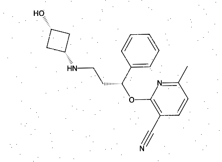 Cc1ccc(C#N)c(O[C@H](CCN[C@H]2C[C@@H](O)C2)c2ccccc2)n1